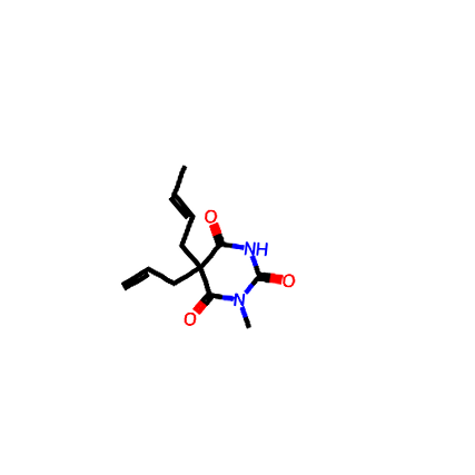 C=CCC1(CC=CC)C(=O)NC(=O)N(C)C1=O